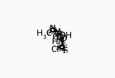 Cc1cncc(N2CCC(O)(OC(=O)NCc3cc(F)cc(Cl)c3)C2=O)c1